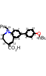 CCCCOc1ccc(-c2ccc3c(c2)C=C(C(=O)O)CCCN3CC(C)C)cc1